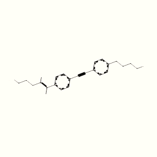 CCCCCc1ccc(C#Cc2ccc(/C(F)=C(\F)CCCC)cc2)cc1